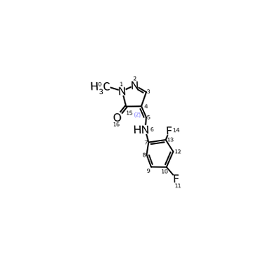 CN1N=C/C(=C/Nc2ccc(F)cc2F)C1=O